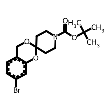 CC(C)(C)OC(=O)N1CCC2(CC1)OCc1ccc(Br)cc1O2